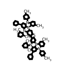 Cc1ccc(N2c3ccc(C)cc3B3c4cc5sc6cc7c(cc6c5cc4N(c4c(C)cccc4C)c4cc(-c5ccccc5)cc2c43)N(c2c(C)cccc2C)c2cc(-c3ccccc3)cc3c2B7c2cc(C)ccc2N3c2ccc(C)cc2)cc1